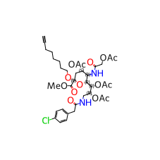 C#CCCCCCCO[C@]1(C(=O)OC)C[C@H](OC(C)=O)[C@@H](NC(=O)COC(C)=O)[C@H]([C@H](OC(C)=O)[C@@H](CNC(=O)Cc2ccc(Cl)cc2)OC(C)=O)O1